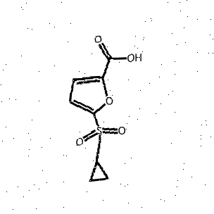 O=C(O)c1ccc(S(=O)(=O)C2CC2)o1